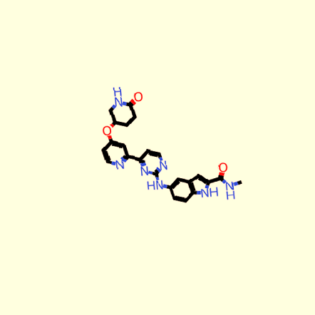 CNC(=O)c1cc2cc(Nc3nccc(-c4cc(OC5CCC(=O)NC5)ccn4)n3)ccc2[nH]1